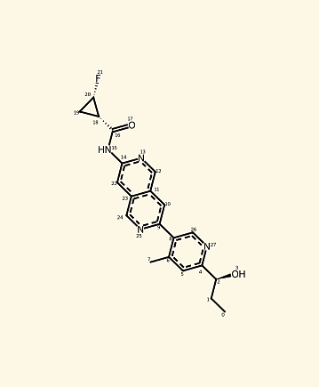 CC[C@H](O)c1cc(C)c(-c2cc3cnc(NC(=O)[C@@H]4C[C@@H]4F)cc3cn2)cn1